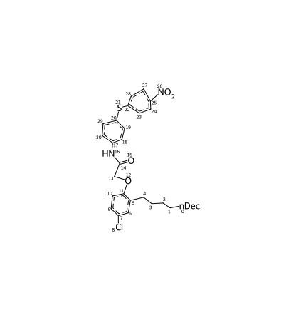 CCCCCCCCCCCCCCc1cc(Cl)ccc1OCC(=O)Nc1ccc(Sc2ccc([N+](=O)[O-])cc2)cc1